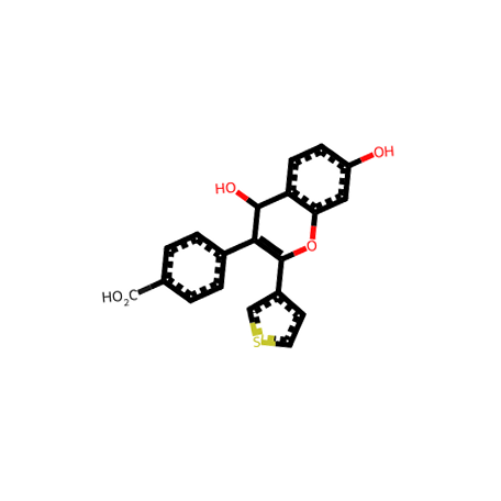 O=C(O)c1ccc(C2=C(c3ccsc3)Oc3cc(O)ccc3C2O)cc1